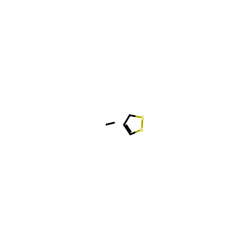 C1=CSSC1.CC